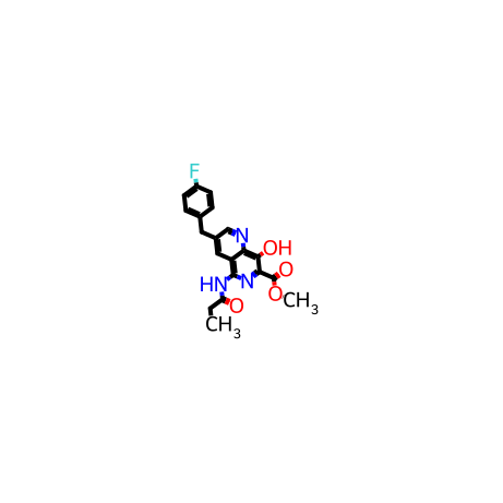 CCC(=O)Nc1nc(C(=O)OC)c(O)c2ncc(Cc3ccc(F)cc3)cc12